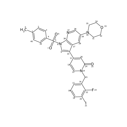 Cc1ccc(S(=O)(=O)n2cc(-c3ccn(Cc4cccc(I)c4F)c(=O)c3)c3cc(N4CCOCC4)cnc32)cc1